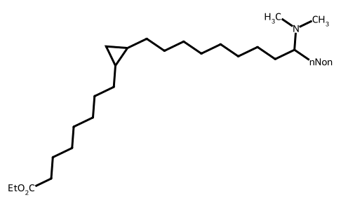 CCCCCCCCCC(CCCCCCCCC1CC1CCCCCCCC(=O)OCC)N(C)C